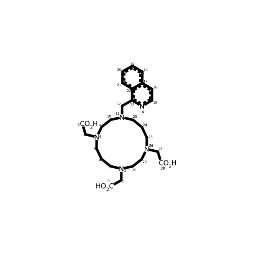 O=C(O)CN1CCCN(CC(=O)O)CCN(Cc2nccc3ccccc23)CCCN(CC(=O)O)CC1